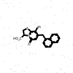 CC(C)c1c(Cc2cccc3ccccc23)cc(=O)n2c1SCC2C(=O)O